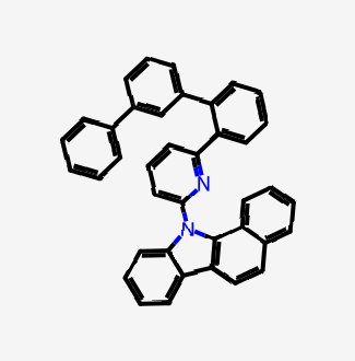 c1ccc(-c2cccc(-c3ccccc3-c3cccc(-n4c5ccccc5c5ccc6ccccc6c54)n3)c2)cc1